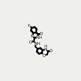 O=C1COc2ccc(CNC(=O)c3nc4cc(F)ccc4c(=O)[nH]3)cc2N1